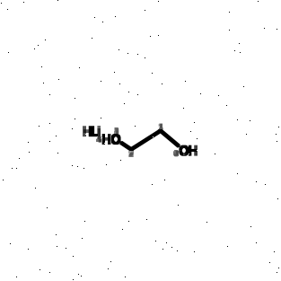 OCCO.[LiH]